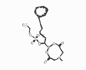 CN1CC(=O)OB(C(/C=C/CCc2ccccc2)OS(=O)(=O)OCC(Cl)(Cl)Cl)OC(=O)C1